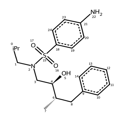 CC(C)CN(C[C@@H](O)[C@@H](C)Cc1ccccc1)S(=O)(=O)c1ccc(N)cc1